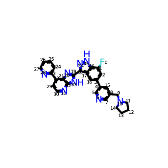 Fc1cc(-c2cncc(CN3CCCC3)c2)cc2c(-c3nc4c(-c5ccccn5)ccnc4[nH]3)n[nH]c12